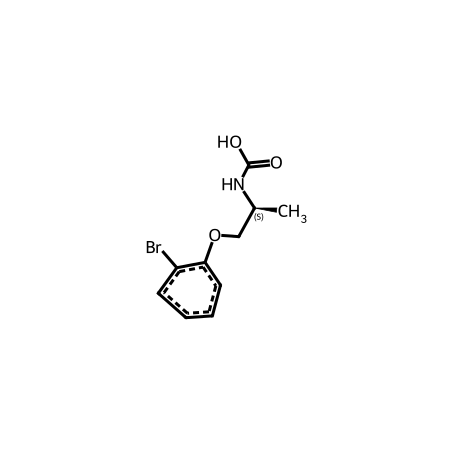 C[C@@H](COc1ccccc1Br)NC(=O)O